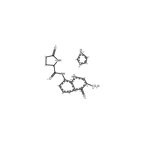 O=C1CCC(C(=O)Nc2cccc3c(=O)c(C(=O)O)c[nH]c23)N1.c1c[nH]cn1